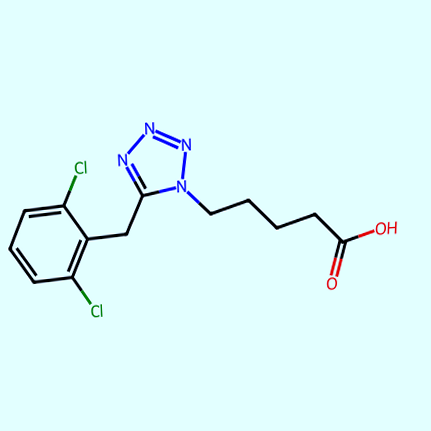 O=C(O)CCCCn1nnnc1Cc1c(Cl)cccc1Cl